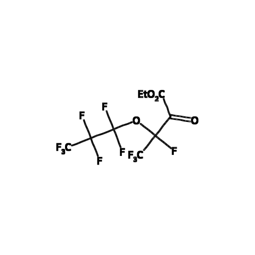 CCOC(=O)C(=O)C(F)(OC(F)(F)C(F)(F)C(F)(F)F)C(F)(F)F